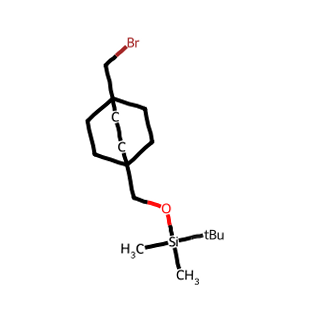 CC(C)(C)[Si](C)(C)OCC12CCC(CBr)(CC1)CC2